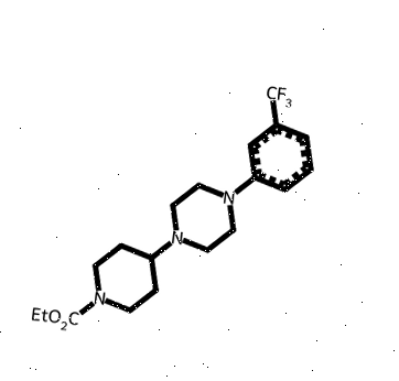 CCOC(=O)N1CCC(N2CCN(c3cccc(C(F)(F)F)c3)CC2)CC1